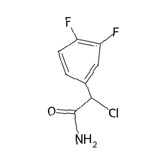 NC(=O)C(Cl)c1ccc(F)c(F)c1